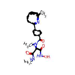 CNC(=O)C(C(=O)NO)N(C)C(=O)c1ccc(-c2cccc(C)n2)cc1